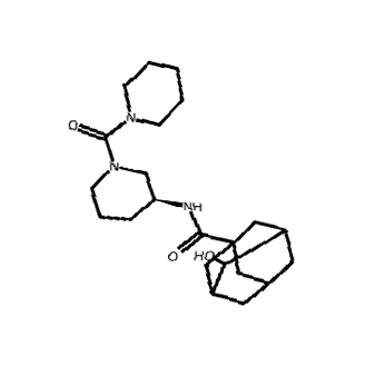 O=C(N1CCCCC1)N1CCC[C@H](NC(=O)C23CC4CC(C2)C(O)C(C4)C3)C1